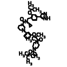 CC(C)Oc1cc(-c2cn[nH]c2)ccc1CN(C(=O)[C@@H]1CCCN(c2cccc(OC(C)(C)C(=O)N3CCN(C(=O)OC(C)(C)C)CC3)c2)C1)C1CC1